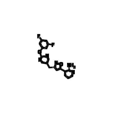 Nc1ncccc1-c1cc(Cc2cnc(Oc3cc(F)cc(F)c3)nc2)no1